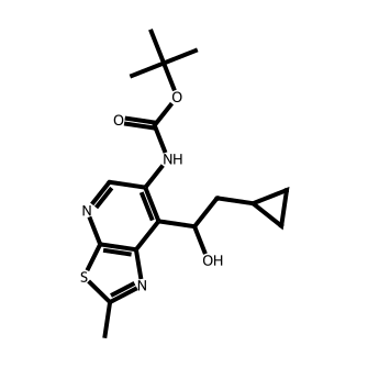 Cc1nc2c(C(O)CC3CC3)c(NC(=O)OC(C)(C)C)cnc2s1